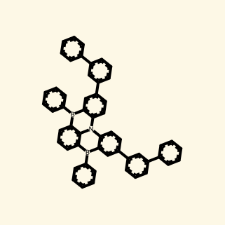 c1ccc(B2c3cc(-c4cccc(-c5ccccc5)c4)ccc3N3c4ccc(-c5cccc(-c6ccccc6)c5)cc4B(c4ccccc4)c4cccc2c43)cc1